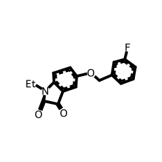 CCN1C(=O)C(=O)c2cc(OCc3cccc(F)c3)ccc21